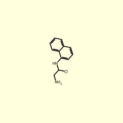 NCC(Cl)Nc1cccc2ccccc12